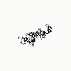 Cc1cc(N)nc(C)c1CNC(=O)c1nn(Cc2ccc3ncc(Cl)cc3c2)nc1C#N.Cc1cc(N)nc(C)c1CNC(=O)c1nnc(Cc2ccc3ncc(Cl)cc3c2)[nH]1